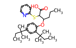 CCCC(Oc1ccc(C(C)(C)CC)cc1C(C)(C)CC)C(Sc1ccccn1)C(=O)O